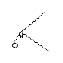 CCCCCCCCCCCCCCn1cc(CCCc2ccccc2)nc1CCCCCCCCCCCCC